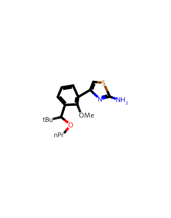 CCCOC(c1cccc(-c2csc(N)n2)c1OC)C(C)(C)C